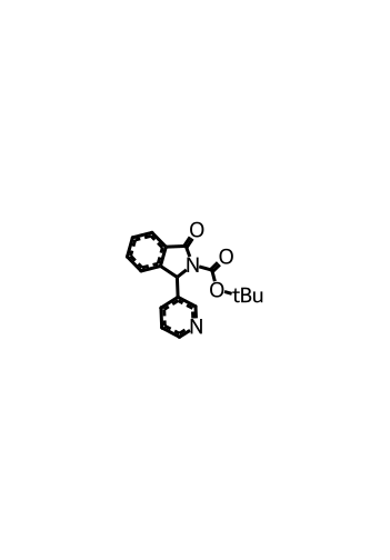 CC(C)(C)OC(=O)N1C(=O)c2ccccc2C1c1cccnc1